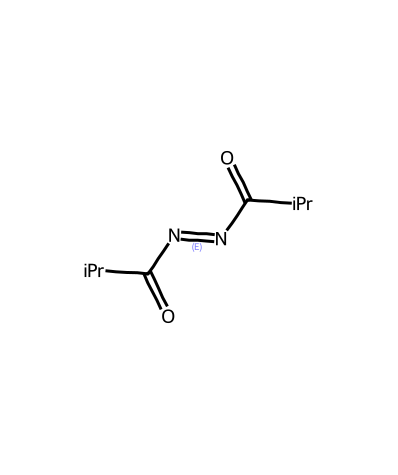 CC(C)C(=O)/N=N/C(=O)C(C)C